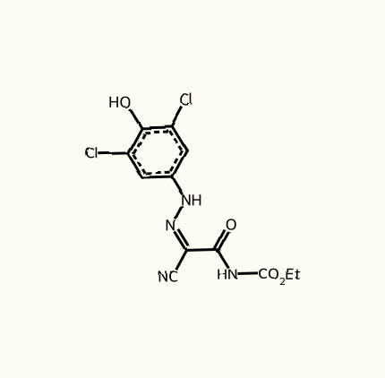 CCOC(=O)NC(=O)C(C#N)=NNc1cc(Cl)c(O)c(Cl)c1